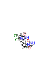 CC1NC(=O)N(c2cc(Cc3c[nH]c(=O)c4cc(Cl)c(Cl)n34)ccc2F)C1=O